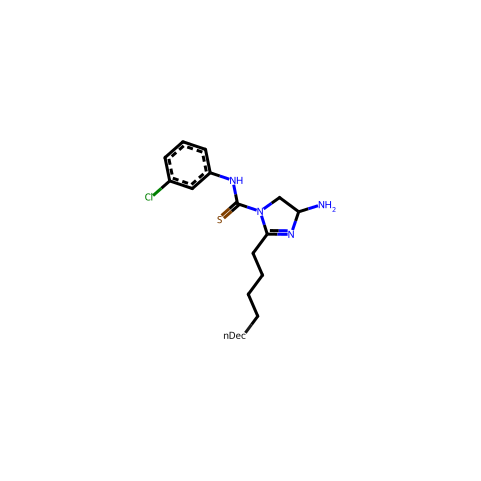 CCCCCCCCCCCCCCC1=NC(N)CN1C(=S)Nc1cccc(Cl)c1